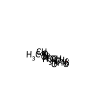 CC(C)c1ccc(S(=O)(=O)n2ccc3c(OCC(O)CN(C(=O)N4CCC(C5CCN(C(=O)C67CC8CC(CC(C8)C6)C7)CC5)CC4)C(C)C)cccc32)cc1